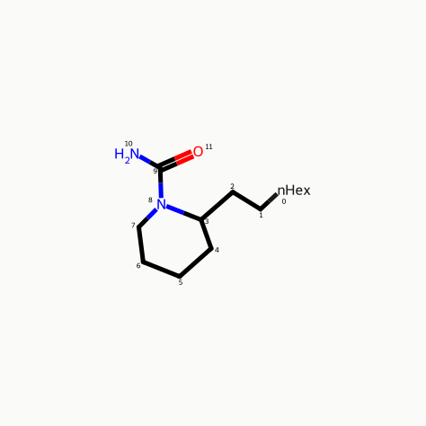 CCCCCCCCC1CCCCN1C(N)=O